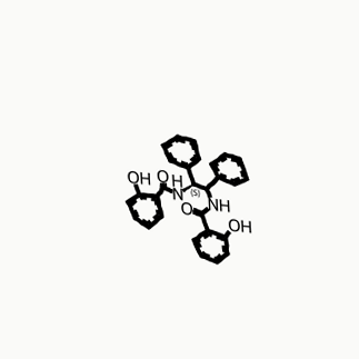 O=C(NC(c1ccccc1)[C@@H](NC(=O)c1ccccc1O)c1ccccc1)c1ccccc1O